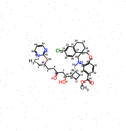 CC[C@H](CCC(=O)C[C@H](O)[C@@H]1CC[C@H]1CN1CC2(CCCc3cc(Cl)ccc32)COc2ccc(C(=O)OC)cc21)Sc1ncccn1